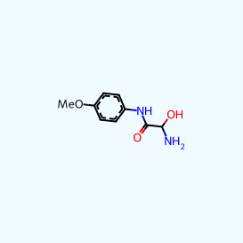 COc1ccc(NC(=O)C(N)O)cc1